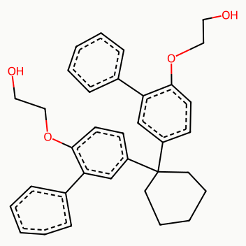 OCCOc1ccc(C2(c3ccc(OCCO)c(-c4ccccc4)c3)CCCCC2)cc1-c1ccccc1